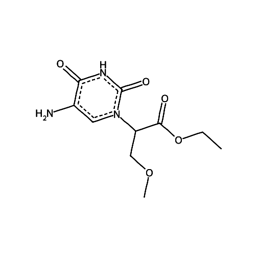 CCOC(=O)C(COC)n1cc(N)c(=O)[nH]c1=O